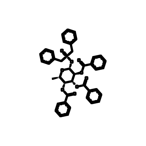 C[C@@H]1O[C@H](OP(=O)(Cc2ccccc2)Cc2ccccc2)[C@@H](OC(=O)c2ccccc2)[C@H](OC(=O)c2ccccc2)[C@@H]1OC(=O)c1ccccc1